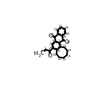 C=CC(=O)c1cc2c(c3c1CCCCCC3)C(=O)c1ccccc1C2=O